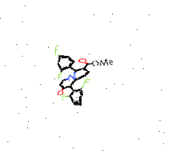 COC(=O)c1ccc2c(-c3c(F)cccc3F)c(=O)ccn2c1-c1ccc(F)cc1F